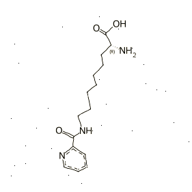 N[C@H](CCCCCCCNC(=O)c1ccccn1)C(=O)O